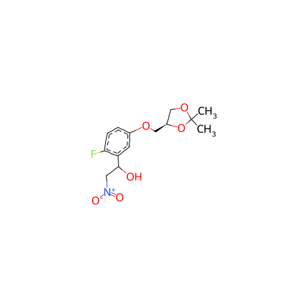 CC1(C)OC[C@H](COc2ccc(F)c(C(O)C[N+](=O)[O-])c2)O1